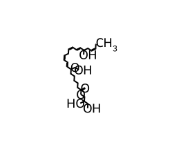 CC/C=C\CC(O)/C=C/C=C\C/C=C\C=C\C(CCCCCC(=O)OCC(O)CO)OO